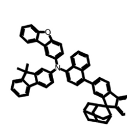 CC1(C)c2ccccc2-c2ccc(N(c3ccc4oc5ccccc5c4c3)c3ccc(-c4ccc5c(c4)C4(c6ccccc6-5)C5CC6CC(C5)CC4C6)c4ccccc34)cc21